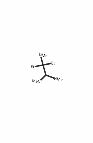 CCC(CC)(NC)[C](NC)NC